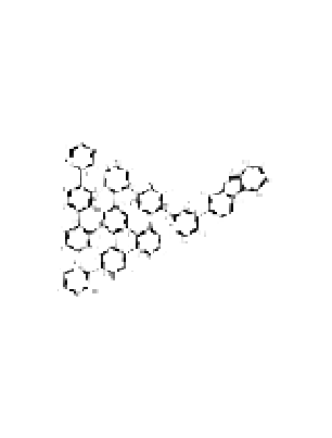 c1ccc(-c2ccc(-c3ccccc3-c3cc(-c4ccccc4-c4ccc(-c5ccccn5)cc4)cc(-c4ccccc4-c4ccc(-c5cc(-c6ccc7c(c6)oc6ccccc67)ccn5)cc4)c3)cc2)nc1